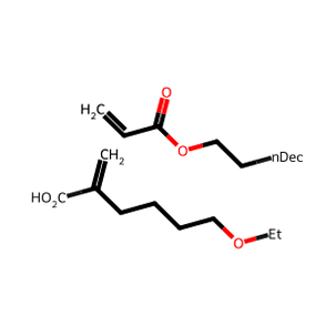 C=C(CCCCOCC)C(=O)O.C=CC(=O)OCCCCCCCCCCCC